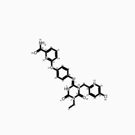 CCn1c(=O)[nH]/c(=N\c2ccc(Oc3cccc(C(N)=O)n3)cc2)n(Cc2ccc(Cl)cn2)c1=O